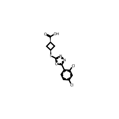 O=C(O)[C@H]1C[C@@H](Sc2nnc(-c3ccc(Cl)cc3Cl)o2)C1